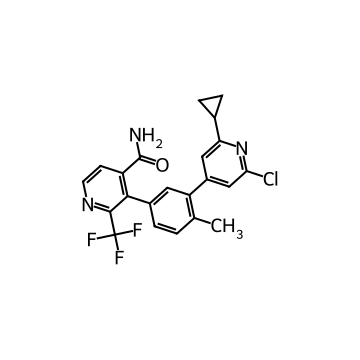 Cc1ccc(-c2c(C(N)=O)ccnc2C(F)(F)F)cc1-c1cc(Cl)nc(C2CC2)c1